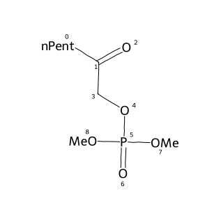 CCCCCC(=O)COP(=O)(OC)OC